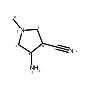 CN1CC(N)C(C#N)C1